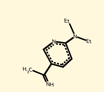 CCN(CC)c1ccc(C(C)=N)cn1